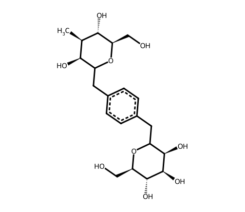 C[C@H]1[C@H](O)[C@@H](CO)OC(Cc2ccc(CC3O[C@H](CO)[C@@H](O)[C@H](O)[C@@H]3O)cc2)[C@H]1O